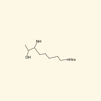 CCCCCCCCCCCC([NH])C(C)O